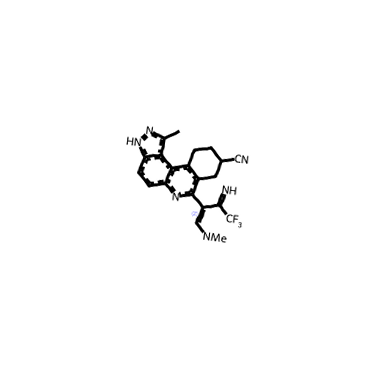 CN/C=C(\C(=N)C(F)(F)F)c1nc2ccc3[nH]nc(C)c3c2c2c1CC(C#N)CC2